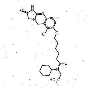 O=C(O)CN(C(=O)CCCCCOc1ccc2c(c1Cl)CN1CC(=O)NC1=N2)C1CCCCC1